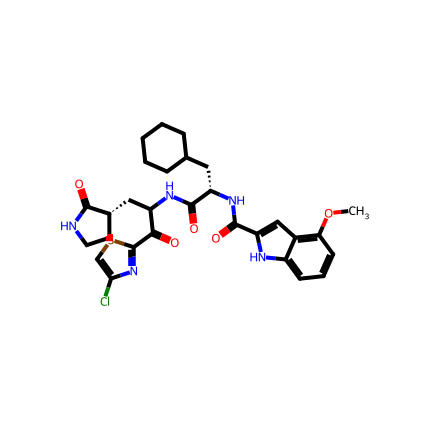 COc1cccc2[nH]c(C(=O)N[C@@H](CC3CCCCC3)C(=O)NC(C[C@@H]3CCNC3=O)C(=O)c3nc(Cl)cs3)cc12